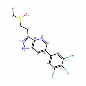 CC[S+]([O-])CCc1n[nH]c2cc(-c3cc(F)c(F)c(F)c3)cnc12